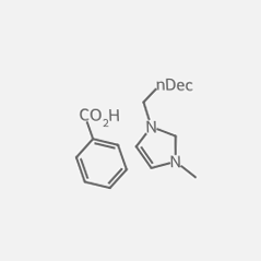 CCCCCCCCCCCN1C=CN(C)C1.O=C(O)c1ccccc1